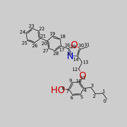 CCCCc1ccc(O)cc1OCCc1nc(-c2ccc(-c3ccccc3)cc2)oc1C